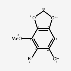 COc1c(Br)c(O)cc2c1OCO2